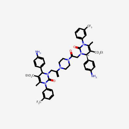 C=C(CN1C(=O)N(c2cccc(C(F)(F)F)c2)C(C)=C(C(=O)OCC)C1c1ccc(N)cc1)N1CCN(C(=O)CN2C(=O)N(c3cccc(C(F)(F)F)c3)C(C)=C(C(=O)OCC)[C@H]2c2ccc(N)cc2)CC1